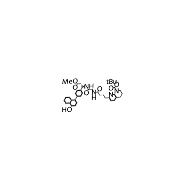 COC(=O)C[C@H](NC(=O)CNC(=O)CCCc1ccc2c(n1)N(C(=O)OC(C)(C)C)CCC2)c1ccc(-c2ccc(O)c3ccccc23)cc1